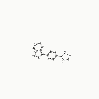 c1ccc2c(-c3ccc(C4OCCO4)cc3)csc2c1